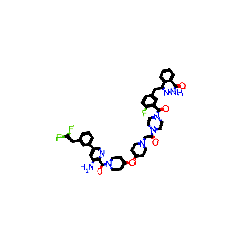 Nc1cc(-c2cccc(CC(F)F)c2)cnc1C(=O)N1CCC(OC2CCN(CC(=O)N3CCN(C(=O)c4cc(Cc5n[nH]c(=O)c6ccccc56)ccc4F)CC3)CC2)CC1